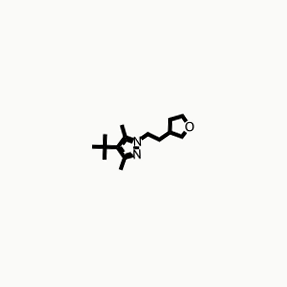 Cc1nn(CCC2CCOC2)c(C)c1C(C)(C)C